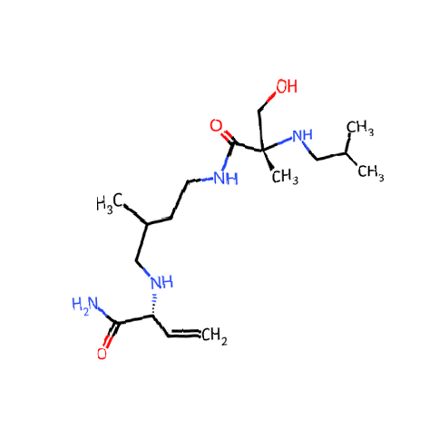 C=C[C@@H](NCC(C)CCNC(=O)[C@](C)(CO)NCC(C)C)C(N)=O